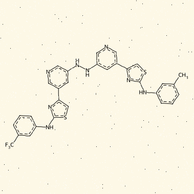 Cc1cccc(Nc2nc(-c3cncc(NNc4cncc(-c5csc(Nc6cccc(C(F)(F)F)c6)n5)c4)c3)cs2)c1